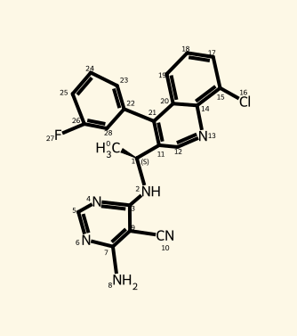 C[C@H](Nc1ncnc(N)c1C#N)c1cnc2c(Cl)cccc2c1-c1cccc(F)c1